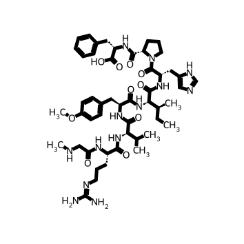 CC[C@H](C)[C@H](NC(=O)[C@H](Cc1ccc(OC)cc1)NC(=O)[C@@H](NC(=O)[C@H](CCCN=C(N)N)NC(=O)CNC)C(C)C)C(=O)N[C@@H](Cc1cnc[nH]1)C(=O)N1CCC[C@H]1C(=O)N[C@@H](Cc1ccccc1)C(=O)O